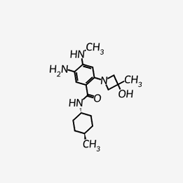 CNc1cc(N2CC(C)(O)C2)c(C(=O)N[C@H]2CC[C@H](C)CC2)cc1N